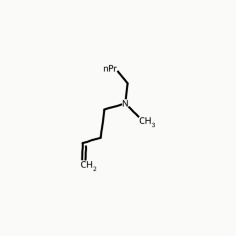 C=CCCN(C)CCCC